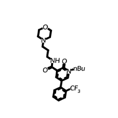 CCCCn1cc(-c2ccccc2C(F)(F)F)cc(C(=O)NCCCN2CCOCC2)c1=O